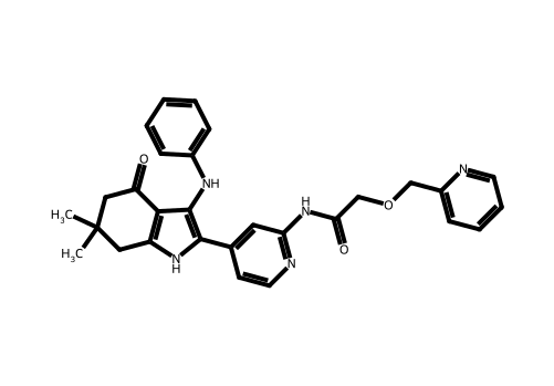 CC1(C)CC(=O)c2c([nH]c(-c3ccnc(NC(=O)COCc4ccccn4)c3)c2Nc2ccccc2)C1